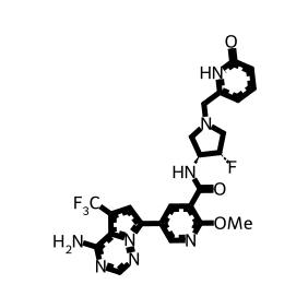 COc1ncc(-c2cc(C(F)(F)F)c3c(N)ncnn23)cc1C(=O)N[C@@H]1CN(Cc2cccc(=O)[nH]2)C[C@@H]1F